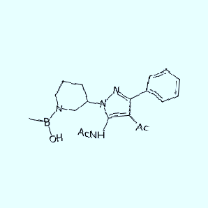 CB(O)N1CCCC(n2nc(-c3ccccc3)c(C(C)=O)c2NC(C)=O)C1